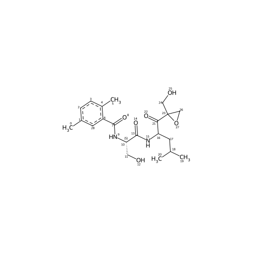 Cc1ccc(C)c(C(=O)N[C@@H](CO)C(=O)NC(CC(C)C)C(=O)C2(CO)CO2)c1